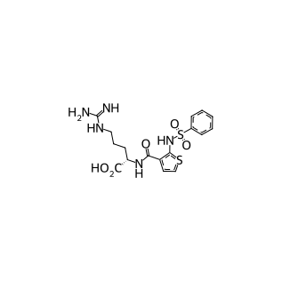 N=C(N)NCCC[C@H](NC(=O)c1ccsc1NS(=O)(=O)c1ccccc1)C(=O)O